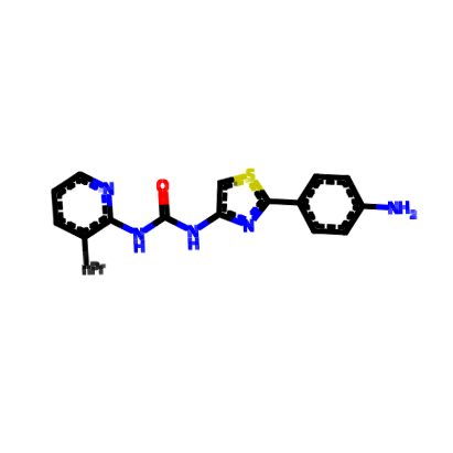 CCCc1cccnc1NC(=O)Nc1csc(-c2ccc(N)cc2)n1